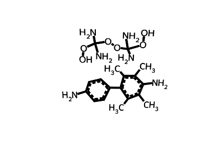 Cc1c(C)c(-c2ccc(N)cc2)c(C)c(C)c1N.NC(N)(OO)OOC(N)(N)OO